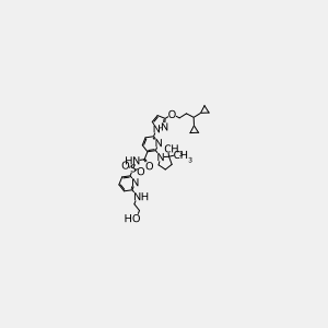 CC1(C)CCCN1c1nc(-n2ccc(OCCC(C3CC3)C3CC3)n2)ccc1C(=O)NS(=O)(=O)c1cccc(NCCO)n1